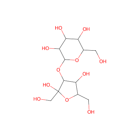 OCC1OC(OC2C(O)C(CO)OC2(O)CO)C(O)C(O)C1O